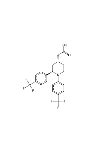 O=C(O)C[C@H]1CCN(c2ccc(C(F)(F)F)cc2)[C@@H](c2ccc(C(F)(F)F)cc2)C1